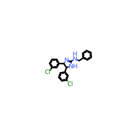 Clc1cccc(C2N=C(NCc3ccccc3)NC2c2cccc(Cl)c2)c1